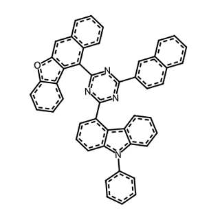 c1ccc(-n2c3ccccc3c3c(-c4nc(-c5ccc6ccccc6c5)nc(-c5c6ccccc6cc6oc7ccccc7c56)n4)cccc32)cc1